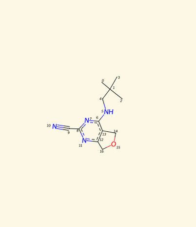 CC(C)(C)CNc1nc(C#N)nc2c1COC2